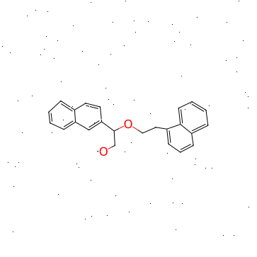 [O]CC(OCCc1cccc2ccccc12)c1ccc2ccccc2c1